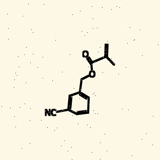 C=C(C)C(=O)OCc1cccc(C#N)c1